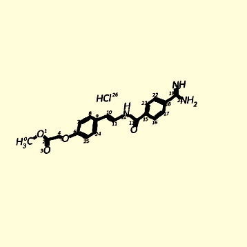 COC(=O)COc1ccc(C=CNC(=O)c2ccc(C(=N)N)cc2)cc1.Cl